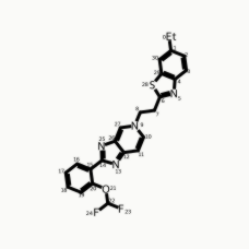 CCc1ccc2nc(CCn3ccc4nc(-c5ccccc5OC(F)F)nc-4c3)sc2c1